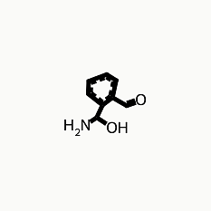 NC(O)c1ccccc1C=O